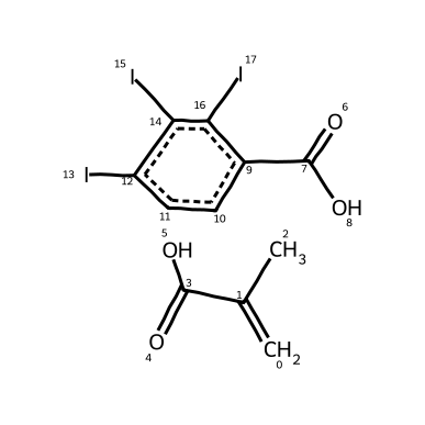 C=C(C)C(=O)O.O=C(O)c1ccc(I)c(I)c1I